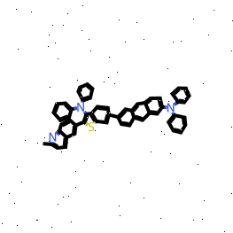 Cc1ccc2cc(-c3sc4cc(-c5ccc6cc7cc(N(c8ccccc8)c8ccccc8)ccc7cc6c5)ccc4c3N(c3ccccc3)c3ccccc3)ccc2n1